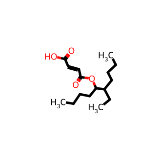 CCCCC(CC)C(CCCC)OC(=O)C=CC(=O)O